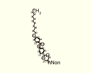 C=CCCCCCCCCCOc1ccc(C(=O)Oc2ccc([C@H]3OC[C@H](CCCCCCCCC)CO3)cc2)cc1